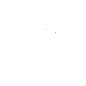 Nc1ccc(CN2CC[CH]CC2)cc1